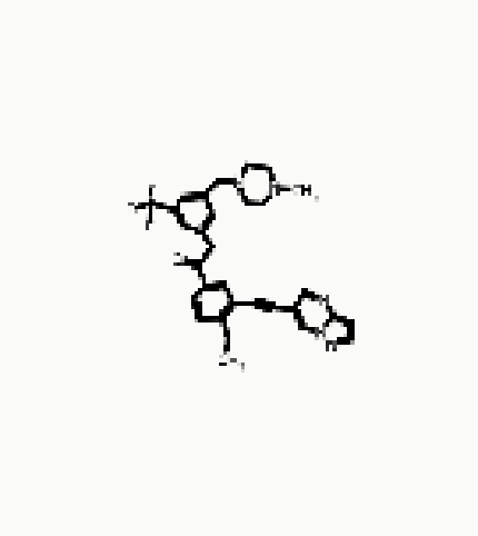 CCc1ccc(C(=O)Cc2cc(CN3CCN(C)CC3)cc(C(F)(F)F)c2)cc1C#Cc1cnc2ccnn2c1